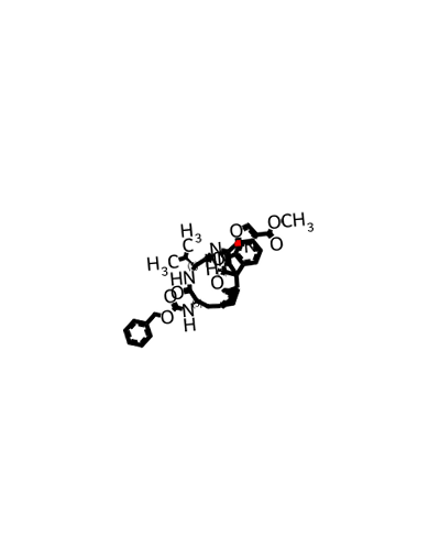 COC(=O)c1coc(-c2nc3oc2C24c5ccccc5N[C@H]2Oc2ccc(cc24)C[C@H](NC(=O)OCc2ccccc2)C(=O)N[C@H]3C(C)C)n1